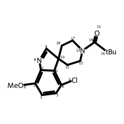 COc1ccc(Cl)c2c1N=CC21CCN(C(=O)C(C)(C)C)CC1